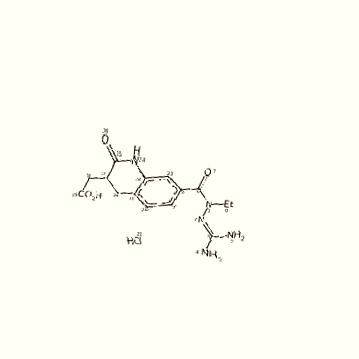 CCN(N=C(N)N)C(=O)c1ccc2c(c1)NC(=O)C(CC(=O)O)C2.Cl